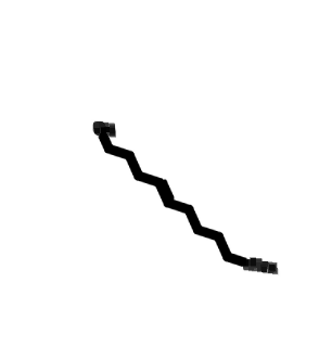 CCCCCCCCCCC=CCCCO